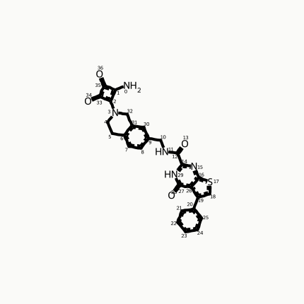 Nc1c(N2CCc3ccc(CNC(=O)c4nc5scc(-c6ccccc6)c5c(=O)[nH]4)cc3C2)c(=O)c1=O